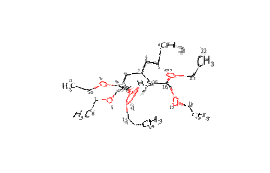 CCCC(C[Si](OCC)(OCC)OCC)[SiH2]C(OCC)OCC